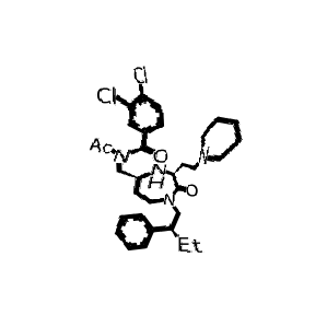 CC[C@H](CN1CC[C@@H](CN(C(C)=O)C(=O)c2ccc(Cl)c(Cl)c2)N[C@@H](CCN2CCCCC2)C1=O)c1ccccc1